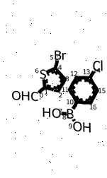 O=Cc1ccc(Br)s1.OB(O)c1ccc(Cl)cc1